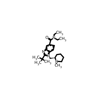 CCN(CC)C(=O)c1ccc2c(c1)nc(C(C)(C)C)n2C[C@H]1CCCCN1C